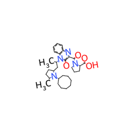 CC1CCC(CC(C)n2c(=O)c(C(=O)N3CCCC3C(=O)O)nc3ccccc32)N1C1CCCCCCC1